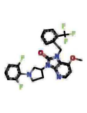 COc1ccnc2c1n(Cc1ccccc1C(F)(F)F)c(=O)n2C1CCN(c2c(F)cccc2F)C1